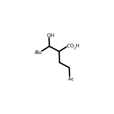 CCC(C)C(O)C(CCC(C)=O)C(=O)O